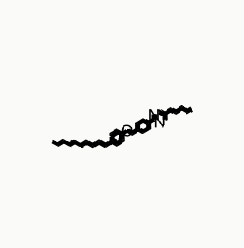 CCCCCCCCCCc1ccc(OCC2CCC(c3ncc(CCCCC)cn3)CC2)cc1